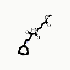 COC(=O)CCNC(=O)C(=O)/C=C/c1ccccc1